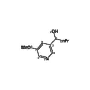 CCCC(O)c1cncc(OC)c1